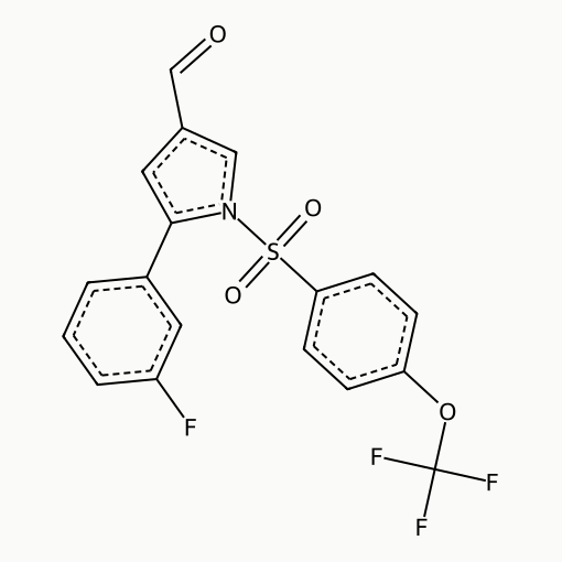 O=Cc1cc(-c2cccc(F)c2)n(S(=O)(=O)c2ccc(OC(F)(F)F)cc2)c1